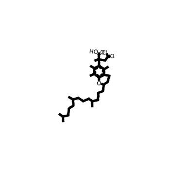 Cc1c(C)c(C(C)(CC(=O)Cl)C(=O)O)c(C)c2c1OC(CCCC(C)CCCC(C)CCCC(C)C)CC2